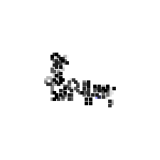 CN/C(=C\C(=N)C1CC1)C(=O)NCc1cccc(OC(F)(F)C(=O)N2CCN(S(C)(=O)=O)CC2)c1OC